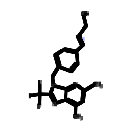 Cc1cc(C)c2nc(C(F)(F)F)n(Cc3ccc(/C=C/CO)cc3)c2n1